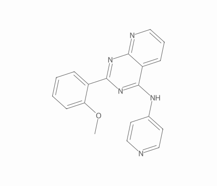 COc1ccccc1-c1nc(Nc2ccncc2)c2cccnc2n1